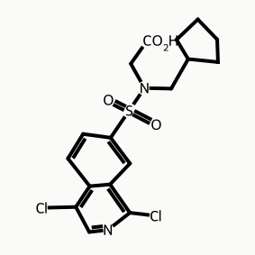 O=C(O)CN(CC1CCCC1)S(=O)(=O)c1ccc2c(Cl)cnc(Cl)c2c1